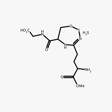 COC(=O)C(N)CCC1=NSOCC(C(=O)NCC(=O)O)N1.S